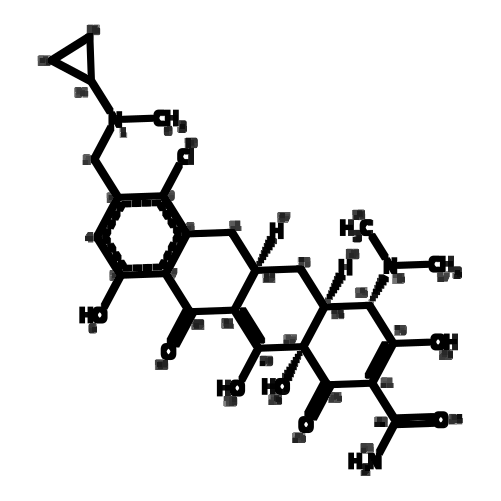 CN(Cc1cc(O)c2c(c1Cl)C[C@H]1C[C@H]3[C@H](N(C)C)C(O)=C(C(N)=O)C(=O)[C@@]3(O)C(O)=C1C2=O)C1CC1